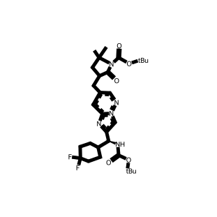 CC(C)(C)OC(=O)N[C@H](c1cn2ncc(CC3CC(C)(C)N(C(=O)OC(C)(C)C)C3=O)cc2n1)C1CCC(F)(F)CC1